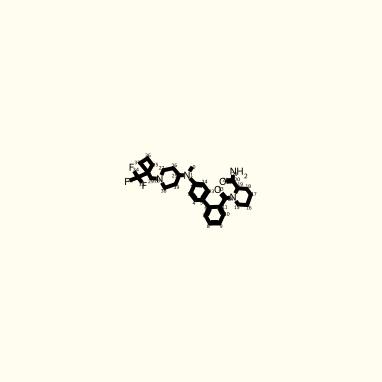 CN(c1ccc(-c2ccccc2C(=O)N2CCCCC2C(N)=O)cc1)C1CCN(CC2(C(F)(F)F)CCC2)CC1